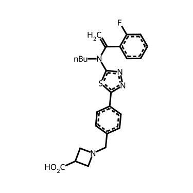 C=C(c1ccccc1F)N(CCCC)c1nnc(-c2ccc(CN3CC(C(=O)O)C3)cc2)s1